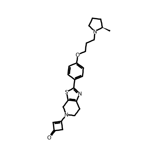 C[C@@H]1CCCN1CCCOc1ccc(-c2nc3c(s2)CN(C2=CC(=O)C2)CC3)cc1